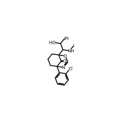 CC(C)C(O)C(NI)C12CCCC(c3ccccc3Cl)(N=CO1)C2=O